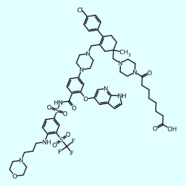 CC1(CN2CCN(C(=O)CCCCCCC(=O)O)CC2)CCC(c2ccc(Cl)cc2)=C(CN2CCN(c3ccc(C(=O)NS(=O)(=O)c4ccc(NCCCN5CCOCC5)c(S(=O)(=O)C(F)(F)F)c4)c(Oc4cnc5[nH]ccc5c4)c3)CC2)C1